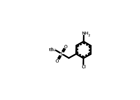 CC(C)(C)S(=O)(=O)Cc1cc(N)ccc1Cl